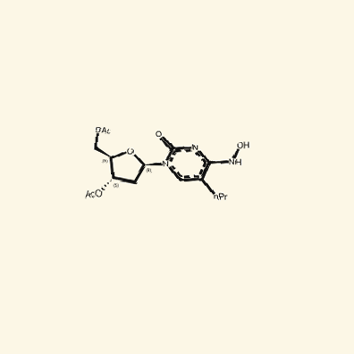 CCCc1cn([C@H]2C[C@H](OC(C)=O)[C@@H](COC(C)=O)O2)c(=O)nc1NO